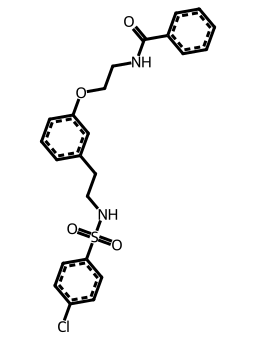 O=C(NCCOc1cccc(CCNS(=O)(=O)c2ccc(Cl)cc2)c1)c1ccccc1